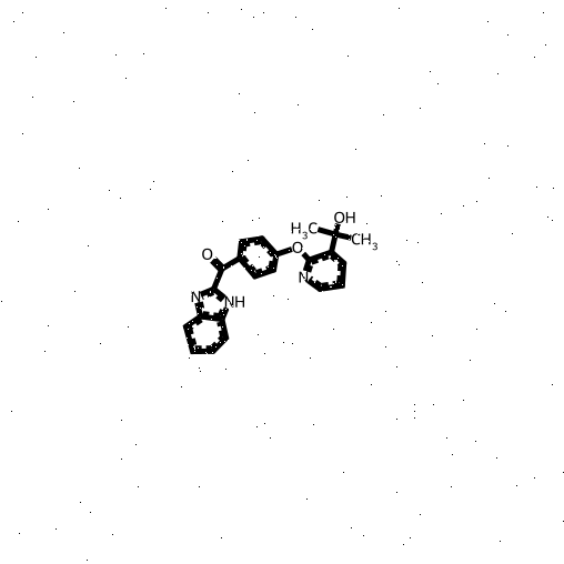 CC(C)(O)c1cccnc1Oc1ccc(C(=O)c2nc3ccccc3[nH]2)cc1